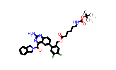 CC(C)(C)OC(=O)NCCCCCC(=O)OCc1cc(F)c(F)cc1-c1ccc2nc(N)nc(C(=O)N3Cc4ccccc4C3)c2c1